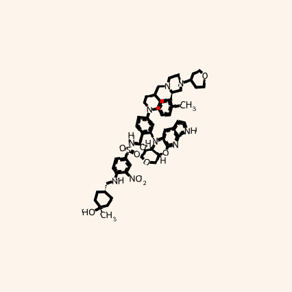 Cc1ccccc1[C@@H]1CN(C2CCOCC2)CCN1CC1CCN(c2ccc(C(=O)NS(=O)(=O)c3ccc(NC[C@H]4CC[C@](C)(O)CC4)c([N+](=O)[O-])c3)c(N3c4cc5cc[nH]c5nc4O[C@H]4COCC[C@@H]43)c2)CC1